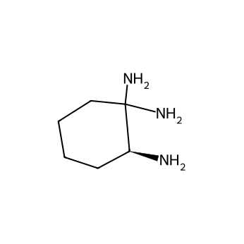 N[C@H]1CCCCC1(N)N